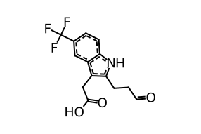 O=CCCc1[nH]c2ccc(C(F)(F)F)cc2c1CC(=O)O